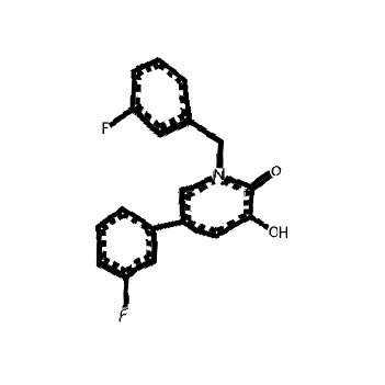 O=c1c(O)cc(-c2cccc(F)c2)cn1Cc1cccc(F)c1